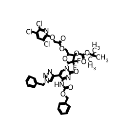 CC(C)(C)OC(=O)OC1C(COC(=O)COc2nc(Cl)c(Cl)cc2Cl)O[C@@H](n2cc(-c3cn(Cc4ccccc4)nn3)c(NC(=O)OCc3ccccc3)nc2=O)C1(F)F